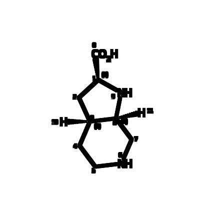 O=C(O)[C@@H]1C[C@@H]2CCNC[C@@H]2N1